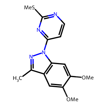 COc1cc2c(C)nn(-c3ccnc(SC)n3)c2cc1OC